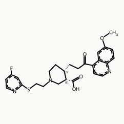 COc1ccc2nccc(C(=O)CC[C@H]3CCN(CCSc4cc(F)ccn4)C[C@H]3C(=O)O)c2c1